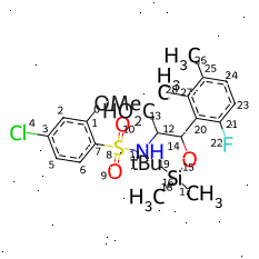 COc1cc(Cl)ccc1S(=O)(=O)NC(C(=O)O)C(O[Si](C)(C)C(C)(C)C)c1c(F)ccc(C)c1C